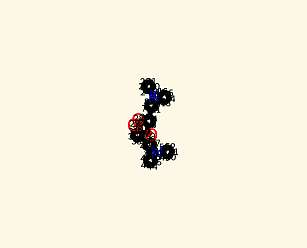 O=C1c2ccc(-c3ccc4c(c3)c3ccccc3n4-c3ccccc3)cc2S(=O)(=O)c2cccc(-c3ccc4c(c3)c3ccccc3n4-c3ccccc3)c21